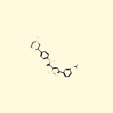 Cl.O=C(Nc1ccc(C2CNCCO2)cc1)c1cc(-c2cccc(OC(F)F)c2)n[nH]1